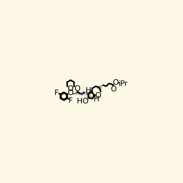 CC(C)OC(=O)CCC[C@H]1CC[C@@H]2[C@@H](/C=C/[C@H](COc3cc(F)ccc3F)OC3CCCCO3)[C@H](O)C[C@@H]2OC1